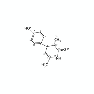 CC1=CC(c2ccc(O)cc2)[C@H](C)C(=O)N1